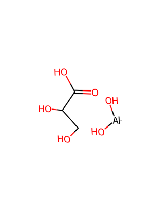 O=C(O)C(O)CO.[OH][Al][OH]